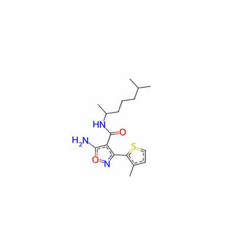 Cc1ccsc1-c1noc(N)c1C(=O)NC(C)CCCC(C)C